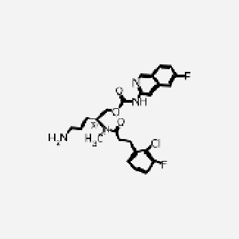 CN(C(=O)CCc1cccc(F)c1Cl)[C@@H](CCCN)COC(=O)Nc1cc2cc(F)ccc2cn1